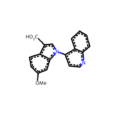 COc1ccc2c(C(=O)O)cn(-c3ccnc4ccccc34)c2c1